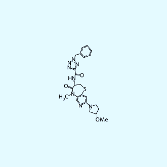 CO[C@H]1CCN(c2cc3c(cn2)N(C)C(=O)[C@@H](NC(=O)c2nnn(Cc4ccccc4)n2)CS3)C1